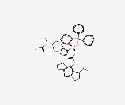 CN(C(=O)OC(C)(C)C)[C@@H]1COc2c(S(=O)(=NC(=O)Nc3c4c(cc5c3C(C(F)F)CC5)CCC4)NC(c3ccccc3)(c3ccccc3)c3ccccc3)cnn2C1